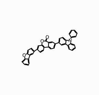 O=c1oc2cc(-c3ccc4oc5ccccc5c4c3)ccc2c2ccc(-c3ccc4c(c3)c3ccccc3n4-c3ccccc3)cc12